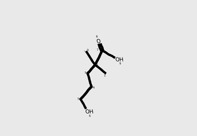 [CH2]C(C)(CCCO)C(=O)O